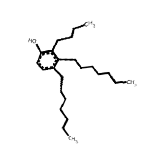 CCCCCCCc1ccc(O)c(CCCC)c1CCCCCCC